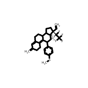 C=C[C@@]1(C(F)(F)C(F)(F)F)CCC2C3CCC4=CC(=C)CCC4=C3C(c3ccc(SC)cc3)CC21C